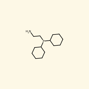 NCCP(C1CCCCC1)C1CCCCC1